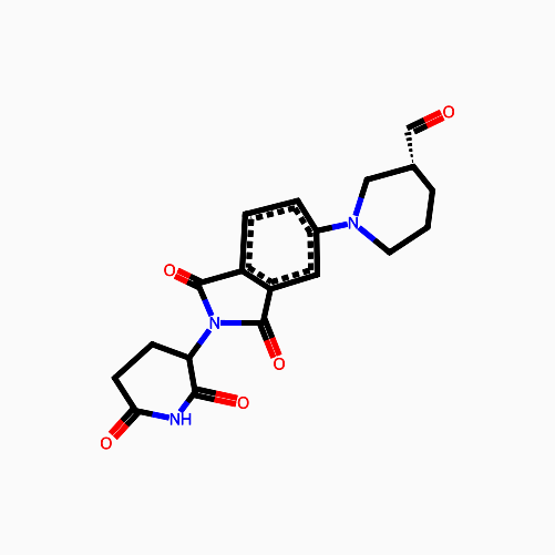 O=C[C@@H]1CCCN(c2ccc3c(c2)C(=O)N(C2CCC(=O)NC2=O)C3=O)C1